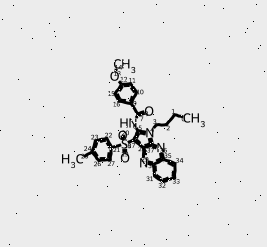 CCCCn1c(NC(=O)c2ccc(OC)cc2)c(S(=O)(=O)c2ccc(C)cc2)c2nc3ccccc3nc21